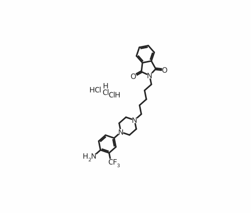 Cl.Cl.Cl.Nc1ccc(N2CCN(CCCCCN3C(=O)c4ccccc4C3=O)CC2)cc1C(F)(F)F